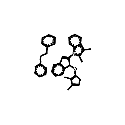 CC1=CC[C]([Zr][CH]2C(n3c(C)c(C)c4ccccc43)=Cc3ccccc32)=C1C.c1ccc(CCc2ccccc2)cc1